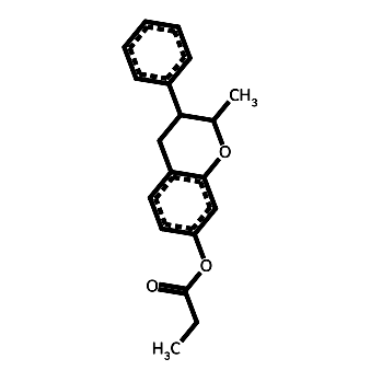 CCC(=O)Oc1ccc2c(c1)OC(C)C(c1ccccc1)C2